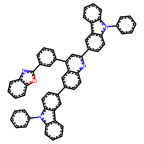 c1ccc(-n2c3ccccc3c3cc(-c4ccc5nc(-c6ccc7c(c6)c6ccccc6n7-c6ccccc6)cc(-c6cccc(-c7nc8ccccc8o7)c6)c5c4)ccc32)cc1